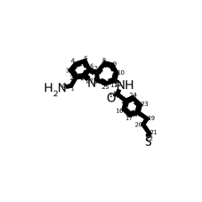 NCc1cccc2c3cccc(NC(=O)c4ccc(CCC=S)cc4)cc-3nc12